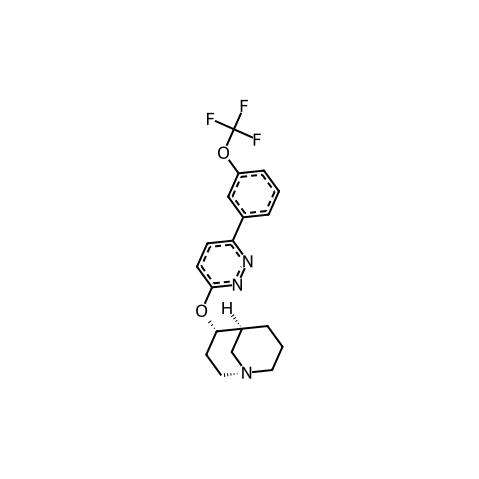 FC(F)(F)Oc1cccc(-c2ccc(O[C@H]3CC[N@@]4CCC[C@H]3C4)nn2)c1